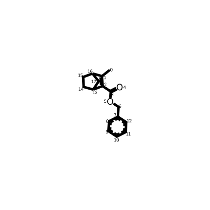 CC1=C(C(=O)OCc2ccccc2)C2CCC1C2